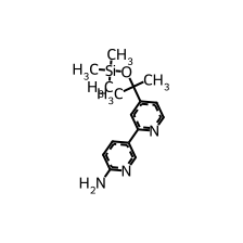 CC(C)(O[Si](C)(C)C)c1ccnc(-c2ccc(N)nc2)c1